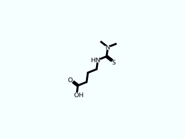 CN(C)C(=S)NCCCC(=O)O